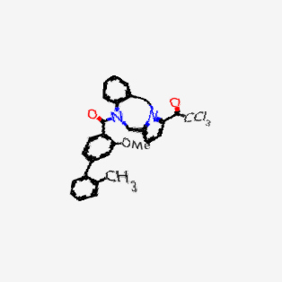 COc1cc(-c2ccccc2C)ccc1C(=O)N1Cc2ccc(C(=O)C(Cl)(Cl)Cl)n2Cc2ccccc21